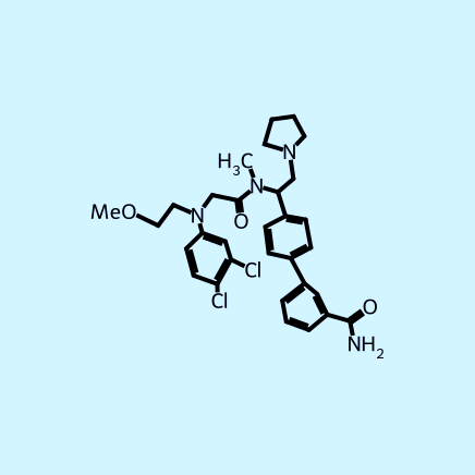 COCCN(CC(=O)N(C)C(CN1CCCC1)c1ccc(-c2cccc(C(N)=O)c2)cc1)c1ccc(Cl)c(Cl)c1